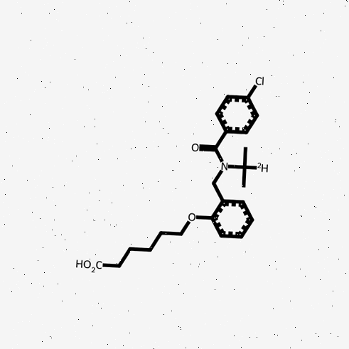 [2H]C(C)(C)N(Cc1ccccc1OCCCCCC(=O)O)C(=O)c1ccc(Cl)cc1